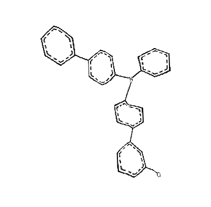 Clc1cccc(-c2ccc(N(c3ccccc3)c3ccc(-c4ccccc4)cc3)cc2)c1